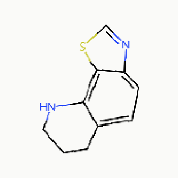 c1nc2ccc3c(c2s1)NCCC3